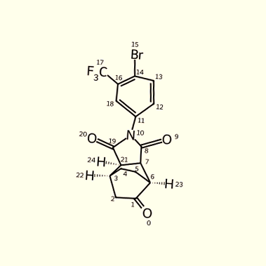 O=C1C[C@@H]2CC[C@H]1C1C(=O)N(c3ccc(Br)c(C(F)(F)F)c3)C(=O)[C@@H]12